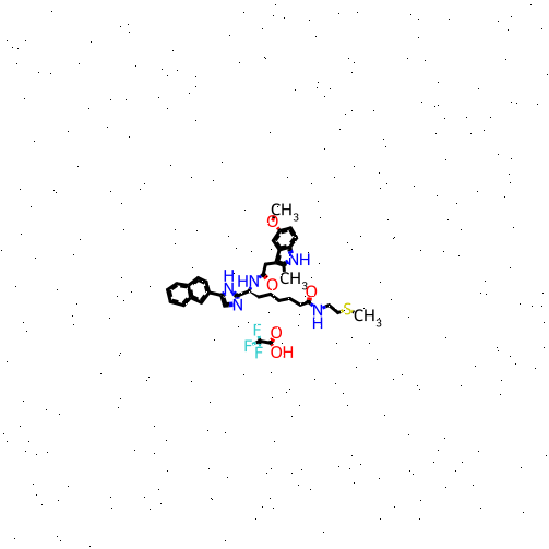 COc1ccc2[nH]c(C)c(CC(=O)N[C@@H](CCCCCC(=O)NCCSC)c3ncc(-c4ccc5ccccc5c4)[nH]3)c2c1.O=C(O)C(F)(F)F